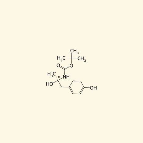 CC(C)(C)OC(=O)N[C@](C)(O)Cc1ccc(O)cc1